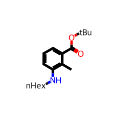 CCCCCCNc1cccc(C(=O)OC(C)(C)C)c1C